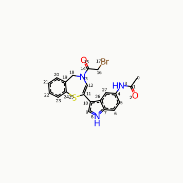 CC(=O)Nc1ccc2[nH]cc(C3=CN(C(=O)CBr)Cc4ccccc4S3)c2c1